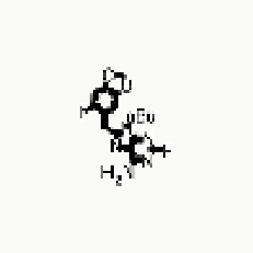 CCCCn1c(Cc2cc3c(cc2I)OCO3)nc2c(N)nc(F)nc21